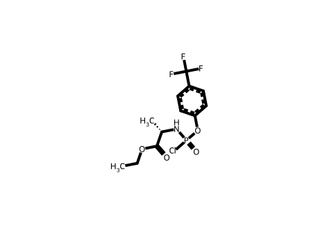 CCOC(=O)[C@H](C)NP(=O)(Cl)Oc1ccc(C(F)(F)F)cc1